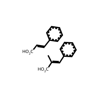 CC(=Cc1ccccc1)C(=O)O.O=C(O)C=Cc1ccccc1